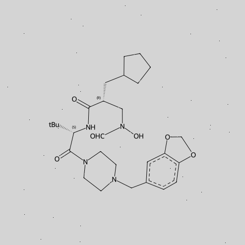 CC(C)(C)[C@H](NC(=O)[C@H](CC1CCCC1)CN(O)C=O)C(=O)N1CCN(Cc2ccc3c(c2)OCO3)CC1